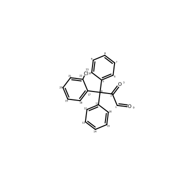 O=CC(=O)C(c1ccccc1)(c1ccccc1)c1ccccc1Cl